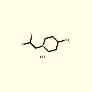 Cl.NC1CCN(CC(F)F)CC1